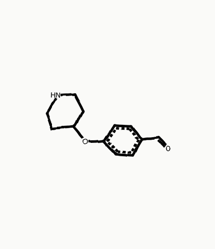 O=Cc1ccc(OC2CCNCC2)cc1